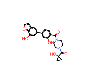 O=C(c1ccc(-c2cc(O)c3occc3c2)cc1O)N1CCN(C(=O)C2(O)CC2)CC1